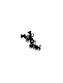 Cn1nc(C(F)F)cc1Nc1nncn1[C@H]1CCc2sc(NC(=O)C3CC3)c(C(=O)NCC3CC34CC4)c2C1